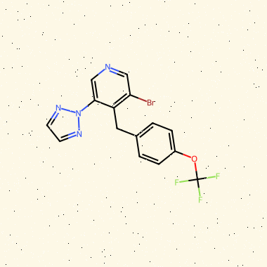 FC(F)(F)Oc1ccc(Cc2c(Br)cncc2-n2nccn2)cc1